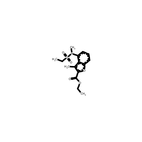 CCOC(=O)c1oc2cccc(N(C)S(=O)(=O)CC)c2c1C